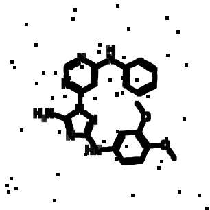 COc1ccc(Nc2nc(N)n(-c3cc(Nc4ccccc4)ncn3)n2)cc1OC